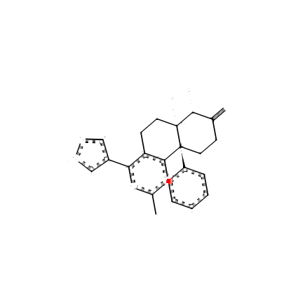 Cc1nc(-c2cn[nH]c2)c2c(n1)[C@@]1(c3ccccc3)CCC(=O)[C@@H](C)[C@@H]1CC2